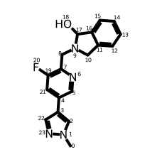 Cn1cc(-c2cnc(CN3Cc4ccccc4C3O)c(F)c2)cn1